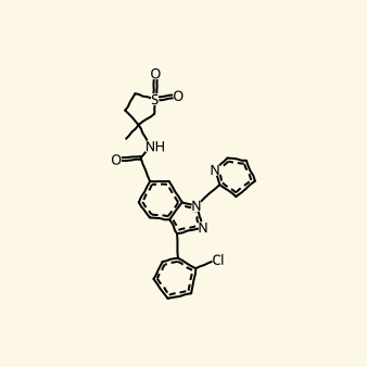 CC1(NC(=O)c2ccc3c(-c4ccccc4Cl)nn(-c4ccccn4)c3c2)CCS(=O)(=O)C1